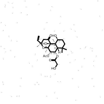 C=C[C@@]1(C)CC(=O)[C@]2(O)[C@@]3(C)[C@@H](O)CCC(C)(C)[C@@H]3[C@H](OC(=O)CO)[C@H](OC(C)=O)[C@@]2(C)O1